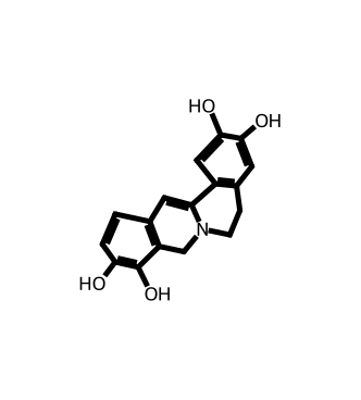 Oc1cc2c(cc1O)C1=Cc3ccc(O)c(O)c3CN1CC2